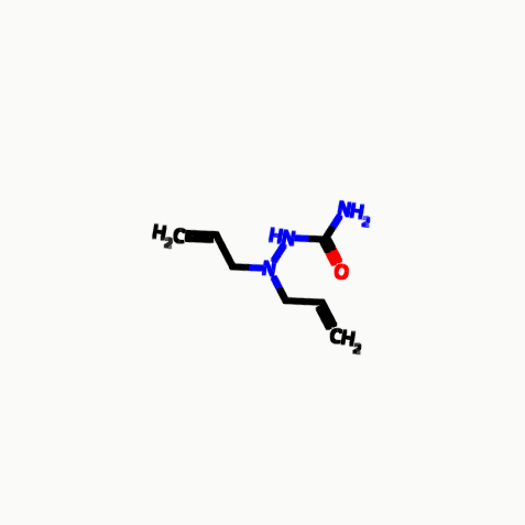 C=CCN(CC=C)NC(N)=O